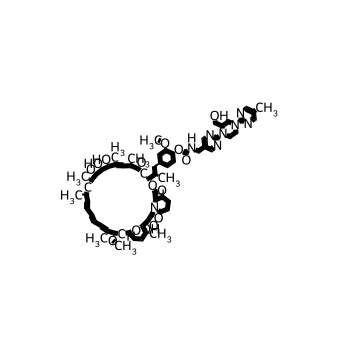 CO[C@H]1C[C@@H]2CC[C@@H](C)[C@@](O)(O2)C(=O)C(=O)N2CCCC[C@H]2C(=O)O[C@H]([C@H](C)C[C@@H]2CC[C@@H](OC(=O)NCc3cnc(N4CCN(c5ncc(C)cn5)CC4CO)nc3)[C@H](OC)C2)CC(=O)[C@H](C)/C=C(\C)[C@@H](O)[C@@H](O)C(=O)[C@H](C)C[C@H](C)/C=C/C=C/C=C/1C